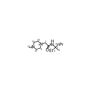 CCCC(C)(CC)NC(=O)CN1CCN(C)CC1